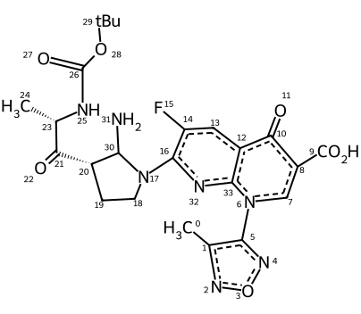 Cc1nonc1-n1cc(C(=O)O)c(=O)c2cc(F)c(N3CC[C@H](C(=O)[C@H](C)NC(=O)OC(C)(C)C)C3N)nc21